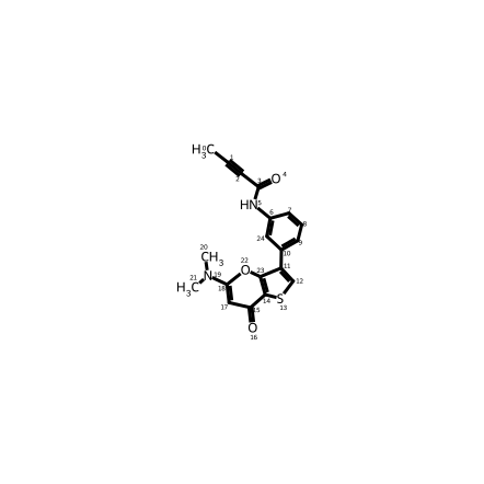 CC#CC(=O)Nc1cccc(-c2csc3c(=O)cc(N(C)C)oc23)c1